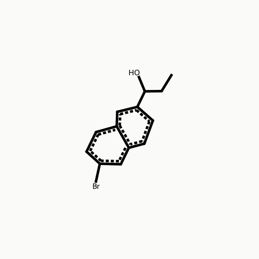 CCC(O)c1ccc2cc(Br)ccc2c1